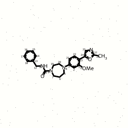 COc1cc(N2CCCN(C(=O)NCc3ccccc3)CC2)ccc1-c1cnc(C)o1